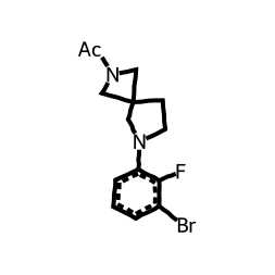 CC(=O)N1CC2(CCN(c3cccc(Br)c3F)C2)C1